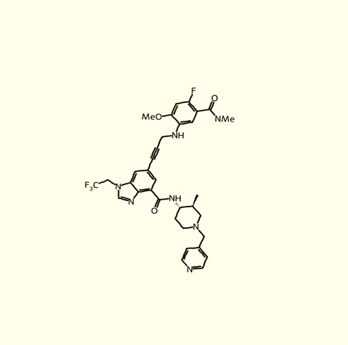 CNC(=O)c1cc(NCC#Cc2cc(C(=O)N[C@H]3CCN(Cc4ccncc4)C[C@@H]3C)c3ncn(CC(F)(F)F)c3c2)c(OC)cc1F